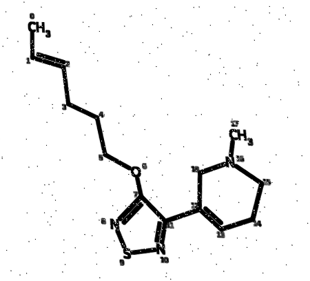 CC=CCCCOc1nsnc1C1=CCCN(C)C1